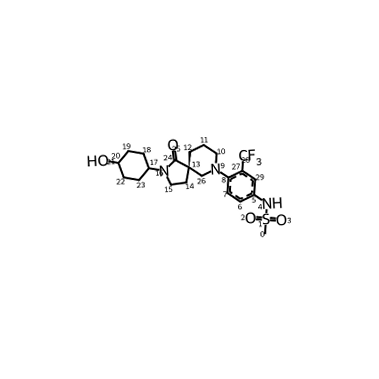 CS(=O)(=O)Nc1ccc(N2CCC[C@]3(CCN(C4CCC(O)CC4)C3=O)C2)c(C(F)(F)F)c1